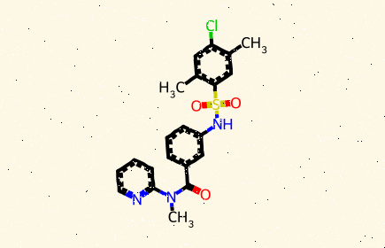 Cc1cc(S(=O)(=O)Nc2cccc(C(=O)N(C)c3ccccn3)c2)c(C)cc1Cl